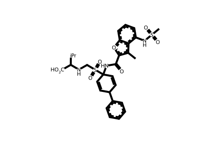 Cc1c(C(=O)NC2(S(=O)(=O)CNC(C(=O)O)C(C)C)C=CC(c3ccccc3)C=C2)oc2cccc(NS(C)(=O)=O)c12